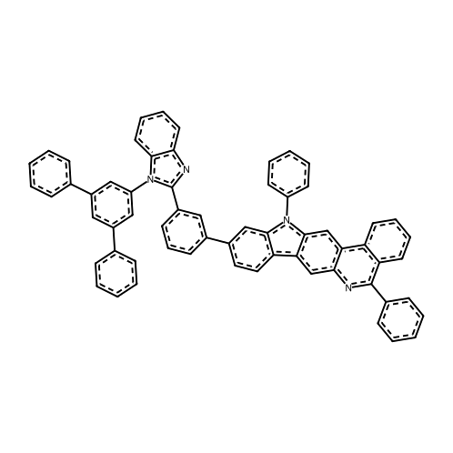 c1ccc(-c2cc(-c3ccccc3)cc(-n3c(-c4cccc(-c5ccc6c7cc8nc(-c9ccccc9)c9ccccc9c8cc7n(-c7ccccc7)c6c5)c4)nc4ccccc43)c2)cc1